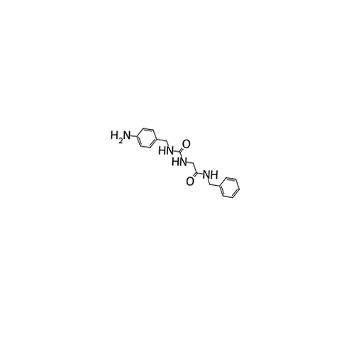 Nc1ccc(CNC(=O)NCC(=O)NCc2ccccc2)cc1